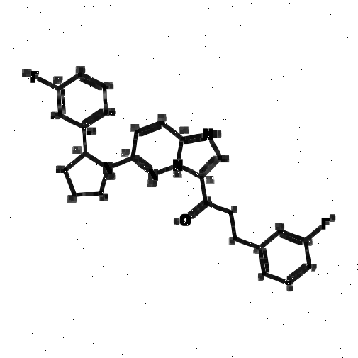 O=C(CCc1cccc(F)c1)c1cnc2ccc(N3CCCC3c3cccc(F)c3)nn12